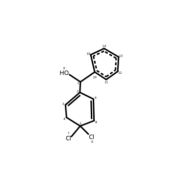 OC(C1=CCC(Cl)(Cl)C=C1)c1ccccc1